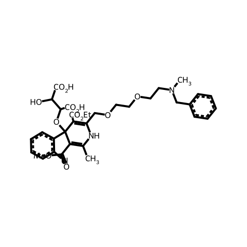 CCOC(=O)C1=C(COCCOCCN(C)Cc2ccccc2)NC(C)=C(C(=O)OC)C1(OC(C(=O)O)C(O)C(=O)O)c1ccccc1Cl